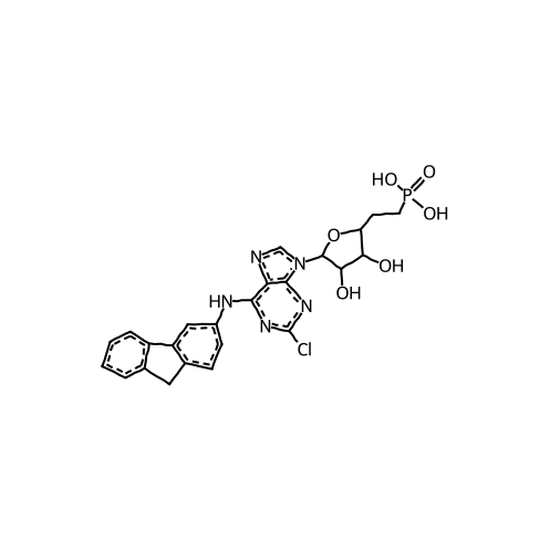 O=P(O)(O)CCC1OC(n2cnc3c(Nc4ccc5c(c4)-c4ccccc4C5)nc(Cl)nc32)C(O)C1O